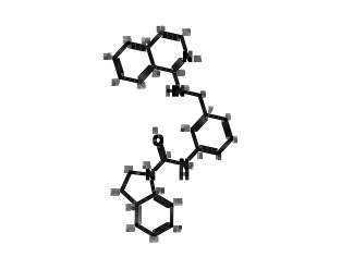 O=C(Nc1cccc(CNc2nccc3ccccc23)c1)N1CCc2ccccc21